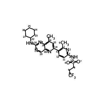 Cc1nc(NS(=O)(=O)CCC(F)(F)F)ccc1-c1cc(C)c2nc(NC3CCCCC3)ncc2n1